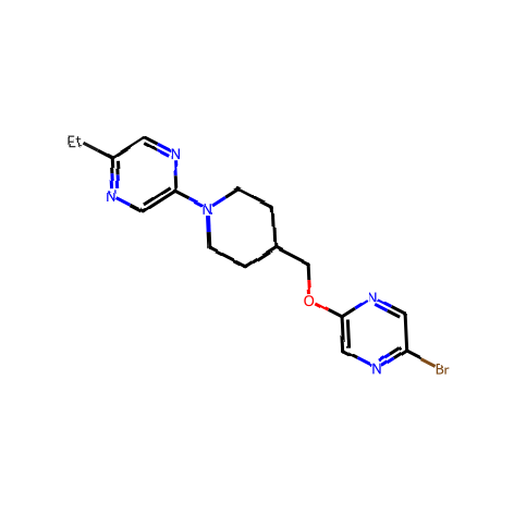 CCc1cnc(N2CCC(COc3cnc(Br)cn3)CC2)cn1